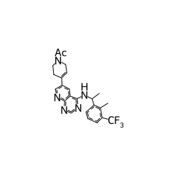 CC(=O)N1CC=C(c2cnc3ncnc(NC(C)c4cccc(C(F)(F)F)c4C)c3c2)CC1